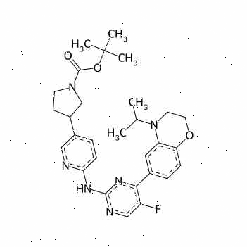 CC(C)N1CCOc2ccc(-c3nc(Nc4ccc(C5CCN(C(=O)OC(C)(C)C)C5)cn4)ncc3F)cc21